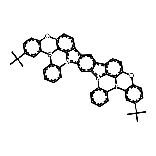 CC(C)(C)c1ccc2c(c1)B1c3ccccc3-n3c4cc5c(cc4c4ccc(c1c43)O2)c1ccc2c3c1n5-c1ccccc1B3c1cc(C(C)(C)C)ccc1O2